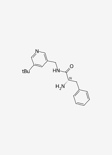 CC(C)(C)c1cncc(CNC(=O)[C@@H](N)Cc2ccccc2)c1